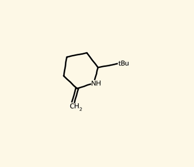 C=C1CCCC(C(C)(C)C)N1